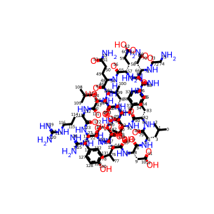 CC(C)C[C@H](NC(=O)[C@H](CC(=O)O)NC(=O)[C@@H](NC(=O)[C@H](CCCNC(=N)N)NC(=O)[C@H](Cc1ccccc1)NC(=O)[C@H](CO)NC(=O)C(CCC(N)=O)NC(=O)[C@H](CCC(=O)O)NC(=O)[C@H](CC(N)=O)NC(=O)CN)C(C)C)C(=O)N[C@@H](CCCNC(=N)N)C(=O)N[C@H](C(=O)N[C@@H](CC(C)C)C(=O)N[C@@H](CC(C)C)C(=O)N[C@@H](CCCNC(=N)N)C(=O)N[C@@H](Cc1ccc(O)cc1)C(=O)N[C@@H](C)C(=O)O)C(C)O